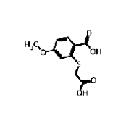 COc1ccc(C(=O)O)c(SCC(=O)O)c1